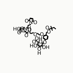 CCC(C)(C)C(=O)OCc1ccc(O[C@@H]2O[C@H](C(=O)O)[C@@H](O)[C@H](O)[C@H]2O)cc1OCCOCCNC(=O)[C@H](CS(=O)(=O)O)NC(=O)CCN1C(=O)C=CC1=O